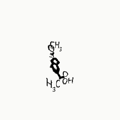 COCSc1ccc2cc(C(C)C(=O)O)ccc2c1